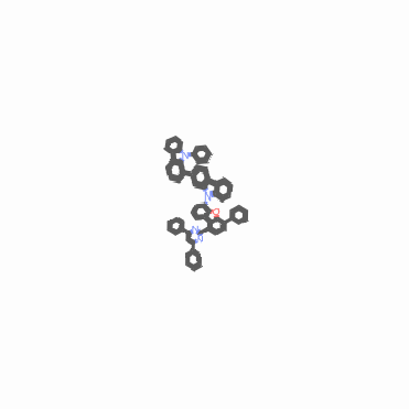 c1ccc(-c2cc(-c3ccccc3)nc(-c3ccc(-c4ccccc4)c4oc5c(-n6c7ccccc7c7ccc(-c8cccc9c%10ccccc%10n(-c%10ccccc%10)c89)cc76)cccc5c34)n2)cc1